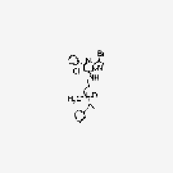 CN(CCCNc1cc(-c2ccccc2Cl)nc2c(Br)cnn12)C(=O)[C@@H]1C[C@H]1c1ccccc1